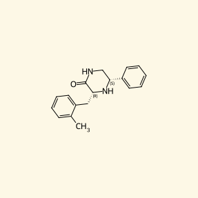 Cc1ccccc1C[C@H]1N[C@@H](c2ccccc2)CNC1=O